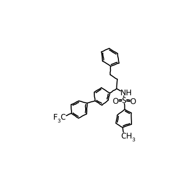 Cc1ccc(S(=O)(=O)NC(CCc2ccccc2)c2ccc(-c3ccc(C(F)(F)F)cc3)cc2)cc1